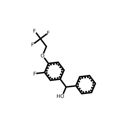 OC(c1ccccc1)c1ccc(OCC(F)(F)F)c(F)c1